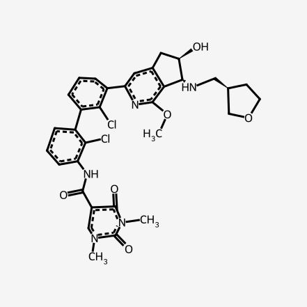 COc1nc(-c2cccc(-c3cccc(NC(=O)c4cn(C)c(=O)n(C)c4=O)c3Cl)c2Cl)cc2c1[C@@H](NC[C@H]1CCOC1)[C@H](O)C2